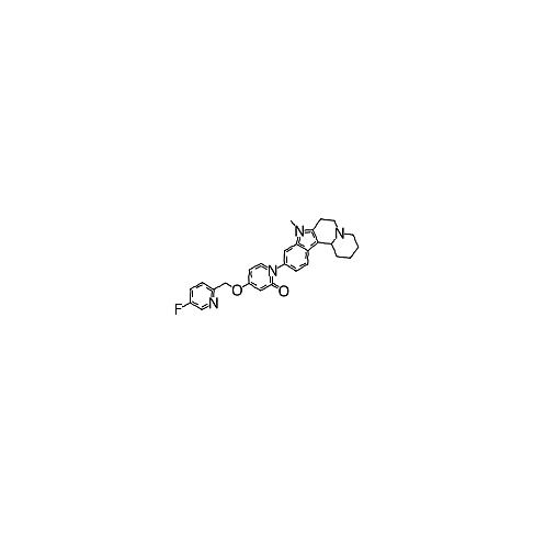 Cn1c2c(c3ccc(-n4ccc(OCc5ccc(F)cn5)cc4=O)cc31)C1CCCCN1CC2